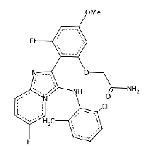 CCc1cc(OC)cc(OCC(N)=O)c1-c1nc2ccc(F)cn2c1Nc1c(C)cccc1Cl